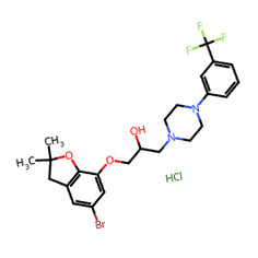 CC1(C)Cc2cc(Br)cc(OCC(O)CN3CCN(c4cccc(C(F)(F)F)c4)CC3)c2O1.Cl